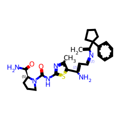 C=C(/N=C\C=C(/N)c1sc(NC(=O)N2CCC[C@H]2C(N)=O)nc1C)C1(c2ccccc2)CCCC1